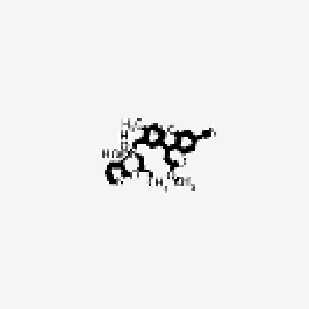 CC[C@@H]1CN(Cc2cc(C(CC(=O)OC)c3ccc(C#N)cc3C)ccc2C)S(O)(O)c2cccnc2O1